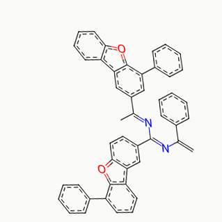 C=C(/N=C(\N=C(/C)c1cc(-c2ccccc2)c2oc3ccccc3c2c1)c1ccc2oc3c(-c4ccccc4)cccc3c2c1)c1ccccc1